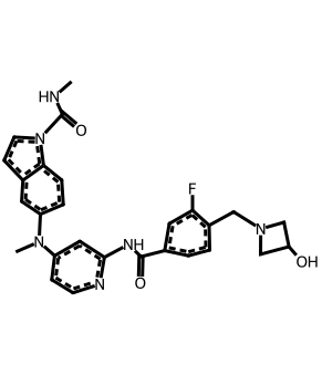 CNC(=O)n1ccc2cc(N(C)c3ccnc(NC(=O)c4ccc(CN5CC(O)C5)c(F)c4)c3)ccc21